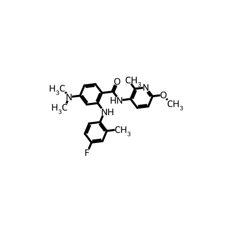 COc1ccc(NC(=O)c2ccc(N(C)C)cc2Nc2ccc(F)cc2C)c(C)n1